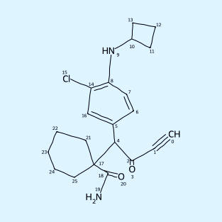 C#CC(=O)C(c1ccc(NC2CCC2)c(Cl)c1)C1(C(N)=O)CCCCC1